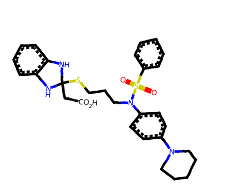 O=C(O)CC1(SCCCN(c2ccc(N3CCCCC3)cc2)S(=O)(=O)c2ccccc2)Nc2ccccc2N1